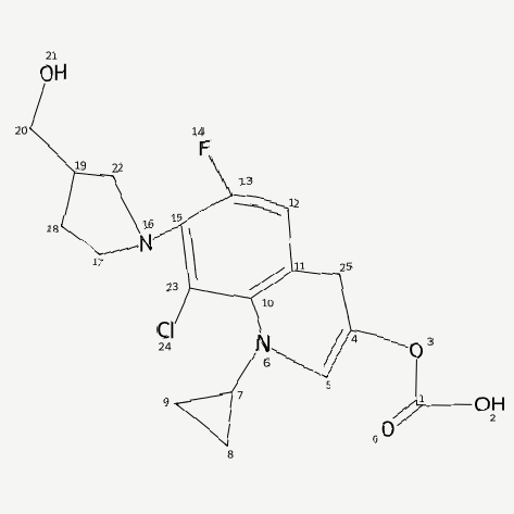 O=C(O)OC1=CN(C2CC2)c2c(cc(F)c(N3CCC(CO)C3)c2Cl)C1